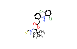 CC(C)(C)C(CNC=S)OC(=O)Cc1ccccc1Nc1c(Cl)cccc1Cl